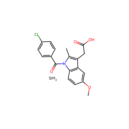 COc1ccc2c(c1)c(CC(=O)O)c(C)n2C(=O)c1ccc(Cl)cc1.[SrH2]